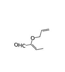 C=CCOC(C=O)=CC